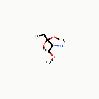 CCC(OC)(OC)[C@@H](N)COC